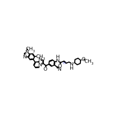 CO[C@H]1CC[C@H](NC/C=C/C(=O)Nc2ccc(C(=O)c3cnc4c(-c5cc6ncn(C)c6cc5C)cccn34)cc2C#N)CC1